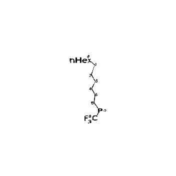 CCCCCCCCCCCC[P]C(F)(F)F